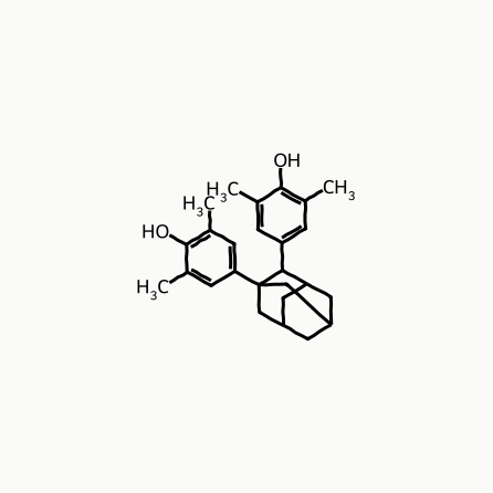 Cc1cc(C2C3CC4CC(C3)CC2(c2cc(C)c(O)c(C)c2)C4)cc(C)c1O